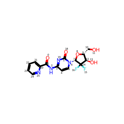 O=C(Nc1ccn([C@@H]2O[C@H](CO)[C@@H](O)C2(F)F)c(=O)n1)c1ccccn1